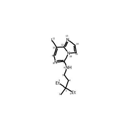 CCC(C)(CC)CCNc1ncc(I)c2nccn12